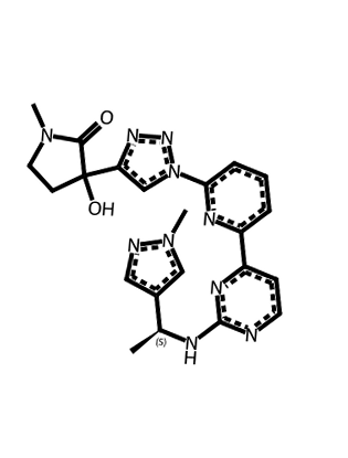 C[C@H](Nc1nccc(-c2cccc(-n3cc(C4(O)CCN(C)C4=O)nn3)n2)n1)c1cnn(C)c1